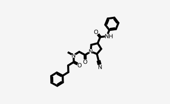 CN(CC(=O)N1CC(C(=O)Nc2ccccc2)CC1C#N)C(=O)CCc1ccccc1